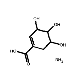 N.O=C(O)C1=CC(O)C(O)C(O)C1